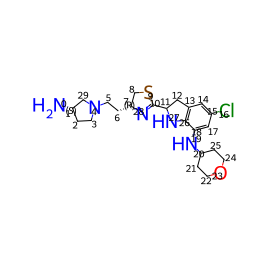 N[C@H]1CCN(CC[C@@H]2CSC(C3Cc4cc(Cl)cc(NC5CCOCC5)c4N3)=N2)C1